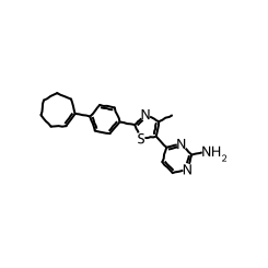 Cc1nc(-c2ccc(C3=CCCCCC3)cc2)sc1-c1ccnc(N)n1